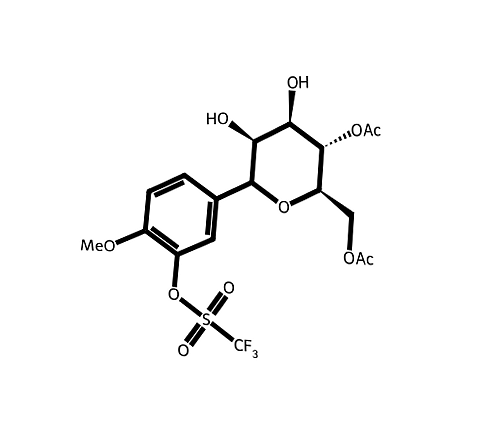 COc1ccc(C2O[C@H](COC(C)=O)[C@@H](OC(C)=O)[C@H](O)[C@@H]2O)cc1OS(=O)(=O)C(F)(F)F